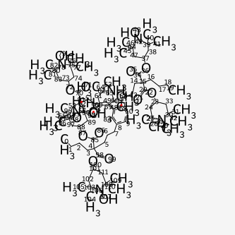 CCCCC(CCCc1ccc(CCCC(CCCC)(C(=O)OC2CC(C)(C)N(C)C(C)(C)C2)C(=O)OC2CC(C)(C)N(O)C(C)(C)C2)c(CCCC(CCCC)(C(=O)OC2CC(C)(C)NC(C)(C)C2)C(=O)OC2CC(C)(C)N(O)C(C)(C)C2)c1)(C(=O)OC1CC(C)(C)NC(C)(C)C1)C(=O)OC1CC(C)(C)N(O)C(C)(C)C1